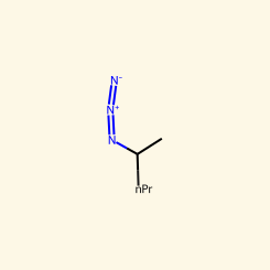 [CH2]CCC(C)N=[N+]=[N-]